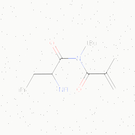 C=C(C)C(=O)N(C(=O)C(N)CC(C)C)C(C)(C)C